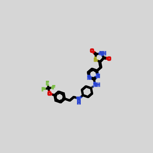 O=C1NC(=O)/C(=C/c2ccnc(N[C@H]3CC[C@H](NCCc4ccc(OC(F)(F)F)cc4)CC3)n2)S1